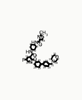 Cc1nc(C(=O)NC2CCC(NC(=O)c3cc(F)cnc3Oc3cccc(-c4ccc(CN5CCCOCC5)cc4)c3)CC2)cs1